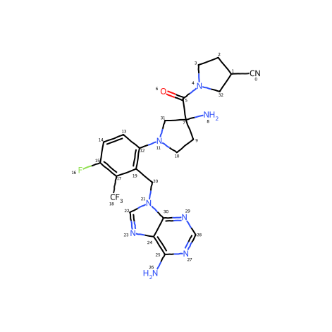 N#CC1CCN(C(=O)C2(N)CCN(c3ccc(F)c(C(F)(F)F)c3Cn3cnc4c(N)ncnc43)C2)C1